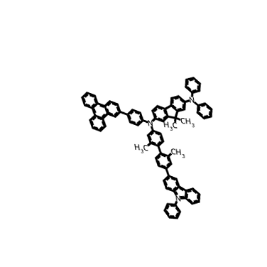 Cc1cc(-c2ccc3c(c2)c2ccccc2n3-c2ccccc2)ccc1-c1ccc(N(c2ccc(-c3ccc4c5ccccc5c5ccccc5c4c3)cc2)c2ccc3c(c2)C(C)(C)c2cc(N(c4ccccc4)c4ccccc4)ccc2-3)cc1C